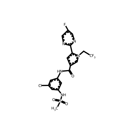 CS(=O)(=O)Nc1cc(Cl)cc(NC(=O)c2cc(-c3ncc(F)cn3)n(CC(F)(F)F)c2)c1